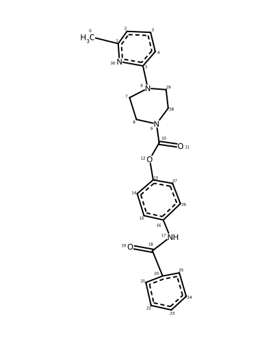 Cc1cccc(N2CCN(C(=O)Oc3ccc(NC(=O)c4ccccc4)cc3)CC2)n1